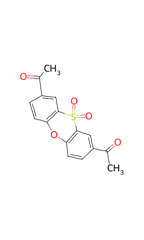 CC(=O)c1ccc2c(c1)S(=O)(=O)c1cc(C(C)=O)ccc1O2